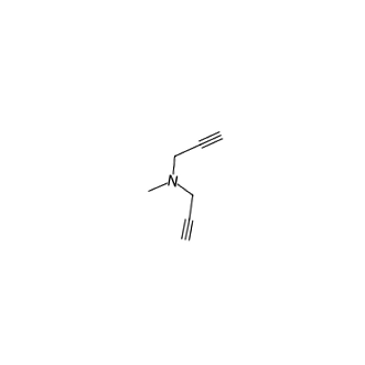 C#CCN(C)CC#C